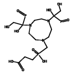 O=PC(O)(CO)N1CCN(CP(=O)(O)CCC(=O)O)CCN(C(O)(CO)P=O)CC1